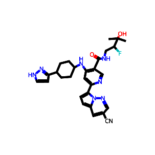 CC(C)(O)C(F)CNC(=O)c1cnc(-c2ccc3cc(C#N)cnn23)cc1NC1CCC(c2cc[nH]n2)CC1